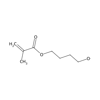 C=C(C)C(=O)OCCCC[O]